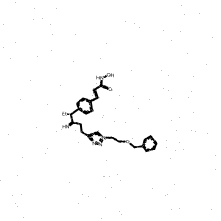 CC[C@H](C(=N)CCc1cn(CCOCc2ccccc2)nn1)c1ccc(/C=C/C(=O)NO)cc1